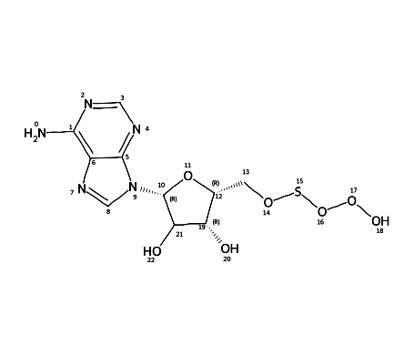 Nc1ncnc2c1ncn2[C@@H]1O[C@H](COSOOO)[C@H](O)C1O